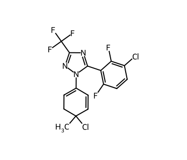 CC1(Cl)C=CC(n2nc(C(F)(F)F)nc2-c2c(F)ccc(Cl)c2F)=CC1